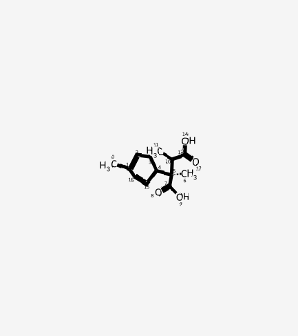 CC1=CCC([C@](C)(C(=O)O)C(C)C(=O)O)C=C1